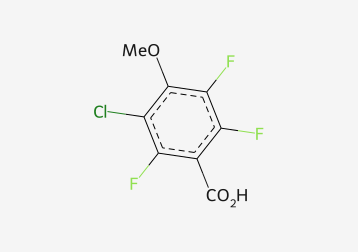 COc1c(F)c(F)c(C(=O)O)c(F)c1Cl